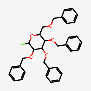 FC1OC(COCc2ccccc2)C(OCc2ccccc2)C(OCc2ccccc2)C1OCc1ccccc1